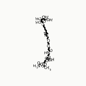 CC(=O)O[C@H](COC(N)=O)COP(=O)(O)OCCNC(=O)CCOCCOCCn1cc(CCCCCOC2O[C@H](CO)[C@@H](O)[C@H](O)[C@@H]2O)nn1